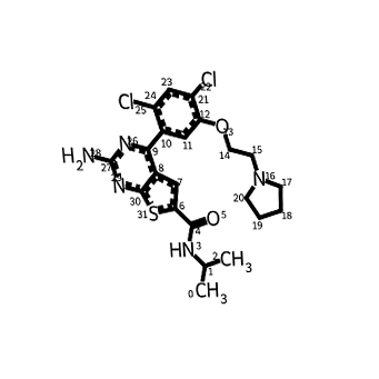 CC(C)NC(=O)c1cc2c(-c3cc(OCCN4CCCC4)c(Cl)cc3Cl)nc(N)nc2s1